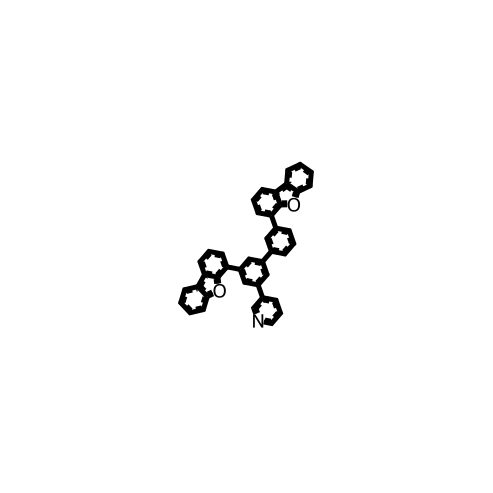 c1cncc(-c2cc(-c3cccc(-c4cccc5c4oc4ccccc45)c3)cc(-c3cccc4c3oc3ccccc34)c2)c1